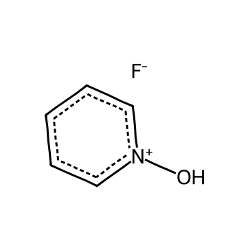 O[n+]1ccccc1.[F-]